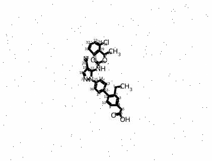 CCc1cc(CC(=O)O)ccc1-c1ccc(-n2ncc(C#N)c2NC(=O)OC(C)c2ccccc2Cl)cc1